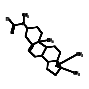 CCC(=O)N(C)C1CCC2(C)C(=CCC3C2CCC24CN(C)C(C)C2CCC34)C1